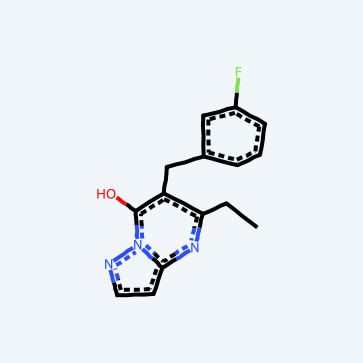 CCc1nc2ccnn2c(O)c1Cc1cccc(F)c1